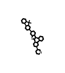 CC1(C)c2ccccc2-c2ccc(-c3ccc4c(c3)sc3c5ccc(-c6cccnc6)cc5c5ccccc5c43)cc21